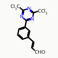 O=[C]C=Cc1cccc(-c2nc(C(Cl)(Cl)Cl)nc(C(Cl)(Cl)Cl)n2)c1